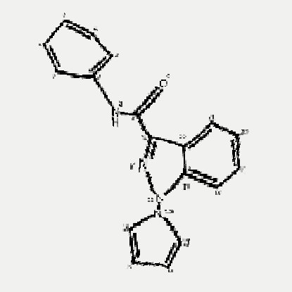 O=C(Nc1ccccc1)c1nn(-n2cccc2)c2ccccc12